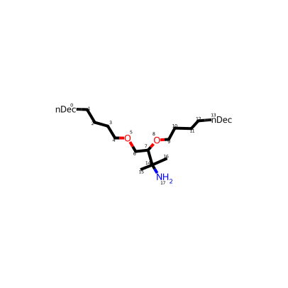 CCCCCCCCCCCCCCOCC(OCCCCCCCCCCCCCC)C(C)(C)N